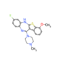 COc1cccc2c3c(sc12)Nc1cc(F)ccc1N=C3N1CCN(C)CC1